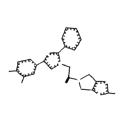 Cc1nc2c(o1)CN(C(=O)Cn1cc(-c3ccc(F)c(C)c3)nc1-c1ccccc1)C2